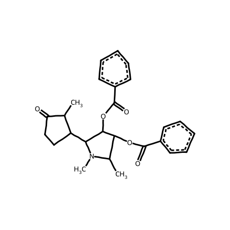 CC1C(=O)CCC1C1C(OC(=O)c2ccccc2)C(OC(=O)c2ccccc2)C(C)N1C